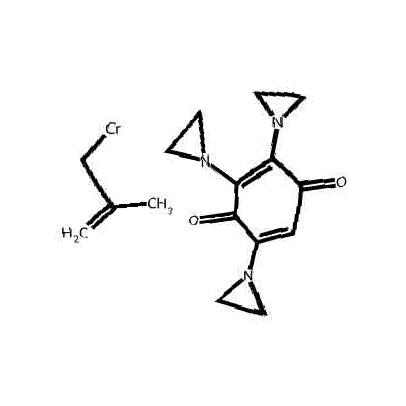 C=C(C)[CH2][Cr].O=C1C=C(N2CC2)C(=O)C(N2CC2)=C1N1CC1